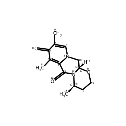 Cc1cn2c(c(C)c1=O)C(=O)N1[C@H](C)CCO[C@H]1C2